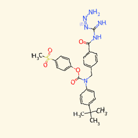 CC(C)(C)c1ccc(N(Cc2ccc(C(=O)NC(=N)/N=N\N)cc2)C(=O)Oc2ccc(S(C)(=O)=O)cc2)cc1